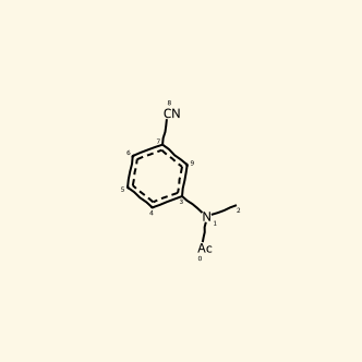 CC(=O)N(C)c1cccc(C#N)c1